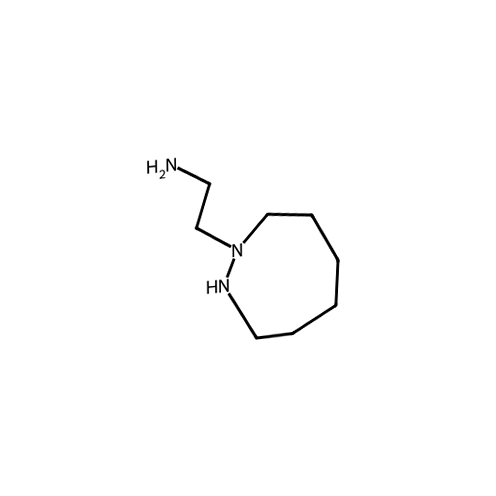 NCCN1CCCCCCN1